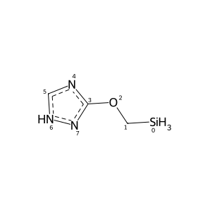 [SiH3]COc1nc[nH]n1